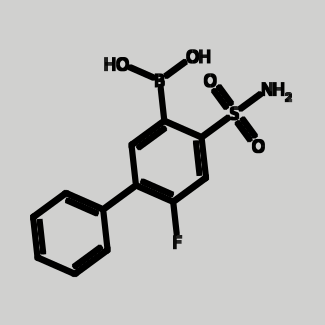 NS(=O)(=O)c1cc(F)c(-c2ccccc2)cc1B(O)O